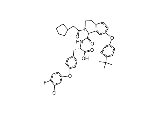 CC(C)(C)c1ccc(Oc2ccc3c(c2)C(C(=O)N[C@@H](Cc2ccc(Oc4ccc(F)c(Cl)c4)cc2)C(=O)O)N(C(=O)CC2CCCC2)CC3)cc1